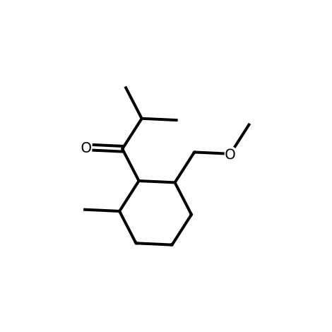 COCC1CCCC(C)C1C(=O)C(C)C